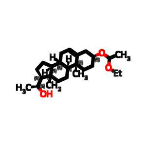 CCOC(C)O[C@H]1CC[C@]2(C)C(=CC[C@H]3[C@@H]4CC[C@H]([C@H](C)O)[C@@]4(C)CC[C@@H]32)C1